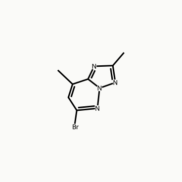 Cc1nc2c(C)cc(Br)nn2n1